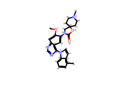 COc1cc2ncnc(-n3ccc4c(C)cccc43)c2cc1N1CC2(CCN(C)CC2)OC1=O